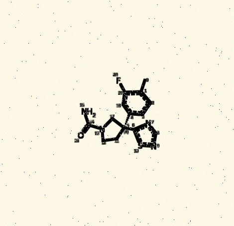 Cc1ccc([C@]2(c3ncns3)CCN(C(N)=O)C2)cc1F